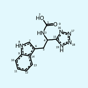 O=C(O)NC(Cc1c[nH]c2ccccc12)c1nnn[nH]1